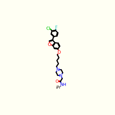 CC(C)NC(=O)CN1CCN(CCCCCOc2ccc3c(-c4ccc(F)c(Cl)c4)coc3c2)CC1